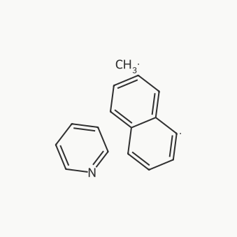 [CH3].[c]1cccc2ccccc12.c1ccncc1